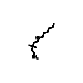 CCCCCCNCCC(C)(C)CCN